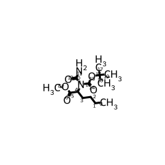 CCCCC(C(=O)OC)N(C(N)=O)C(=O)OC(C)(C)C